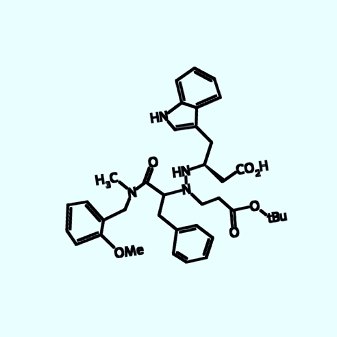 COc1ccccc1CN(C)C(=O)C(Cc1ccccc1)N(CCC(=O)OC(C)(C)C)N[C@H](CC(=O)O)Cc1c[nH]c2ccccc12